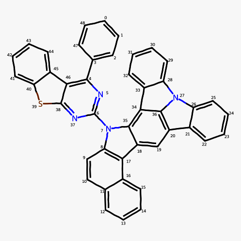 c1ccc(-c2nc(-n3c4ccc5ccccc5c4c4cc5c6ccccc6n6c7ccccc7c(c43)c56)nc3sc4ccccc4c23)cc1